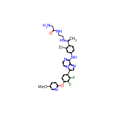 C=C(NCCNC(=O)CN)c1ccc(Nc2nccn3c(-c4ccc(Oc5ccc(OC)cn5)c(F)c4F)cnc23)cc1CC